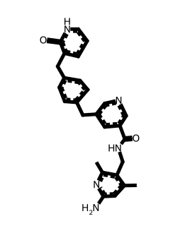 Cc1cc(N)nc(C)c1CNC(=O)c1cncc(Cc2ccc(Cc3ccc[nH]c3=O)cc2)c1